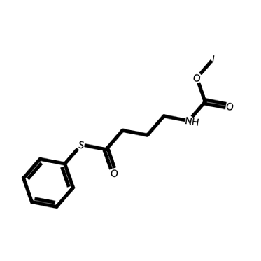 O=C(NCCCC(=O)Sc1ccccc1)OI